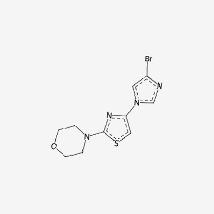 Brc1cn(-c2csc(N3CCOCC3)n2)cn1